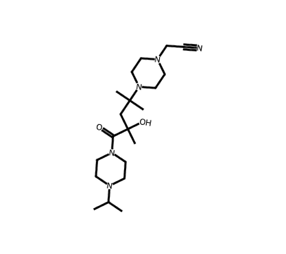 CC(C)N1CCN(C(=O)C(C)(O)CC(C)(C)N2CCN(CC#N)CC2)CC1